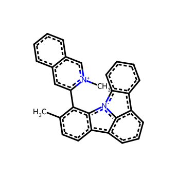 Cc1ccc2c3cccc4c5ccccc5n(c2c1-c1cc2ccccc2c[n+]1C)c43